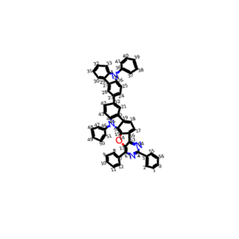 c1ccc(-c2nc(-c3ccccc3)c3oc4c(ccc5c6cc(-c7ccc8c(c7)c7ccccc7n8-c7ccccc7)ccc6n(-c6ccccc6)c54)c3n2)cc1